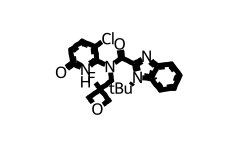 CC(C)(C)n1c(C(=O)N(CC2(F)COC2)c2[nH]c(=O)ccc2Cl)nc2ccccc21